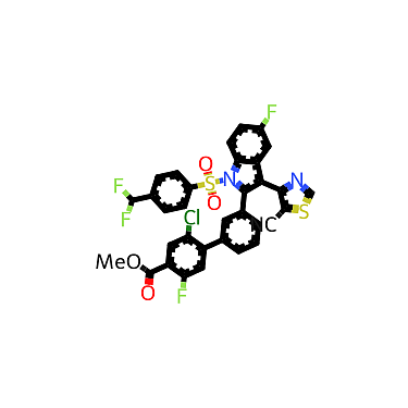 COC(=O)c1cc(Cl)c(-c2cccc(-c3c(-c4ncsc4C#N)c4cc(F)ccc4n3S(=O)(=O)c3ccc(C(F)F)cc3)c2)cc1F